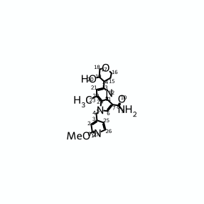 COc1cc(Cn2cc(C(N)=O)c3nc(C4CCOCC4O)cc(C)c32)ccn1